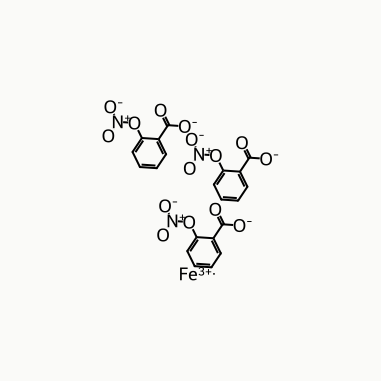 O=C([O-])c1ccccc1O[N+](=O)[O-].O=C([O-])c1ccccc1O[N+](=O)[O-].O=C([O-])c1ccccc1O[N+](=O)[O-].[Fe+3]